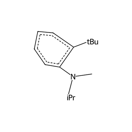 CC(C)N(C)c1ccccc1C(C)(C)C